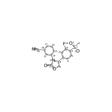 CS(=O)(=O)c1ccc(-c2coc(=O)n2-c2cccc(C#N)c2)cc1F